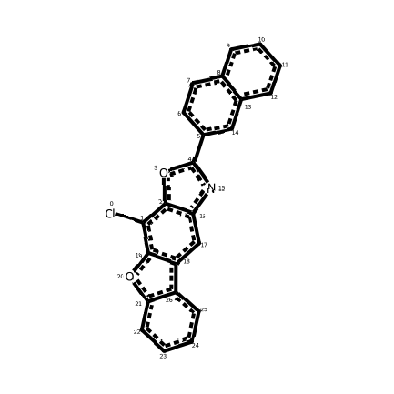 Clc1c2oc(-c3ccc4ccccc4c3)nc2cc2c1oc1ccccc12